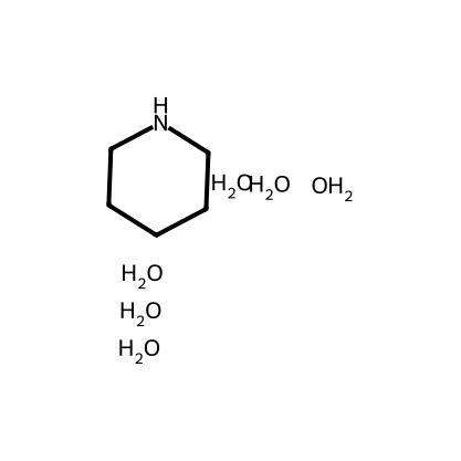 C1CCNCC1.O.O.O.O.O.O